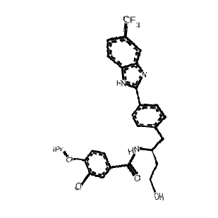 CC(C)Oc1ccc(C(=O)N[C@H](CCO)Cc2ccc(-c3nc4cc(C(F)(F)F)ccc4[nH]3)cc2)cc1Cl